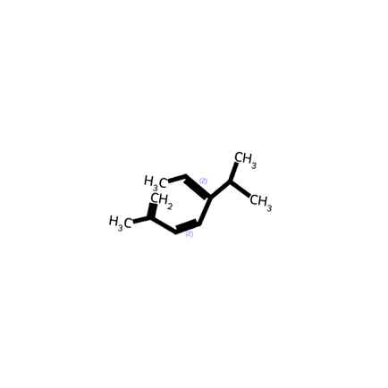 C=C(C)/C=C\C(=C/C)C(C)C